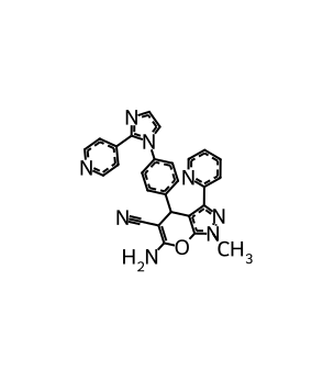 Cn1nc(-c2ccccn2)c2c1OC(N)=C(C#N)C2c1ccc(-n2ccnc2-c2ccncc2)cc1